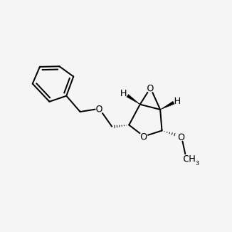 CO[C@@H]1O[C@H](COCc2ccccc2)[C@@H]2O[C@H]12